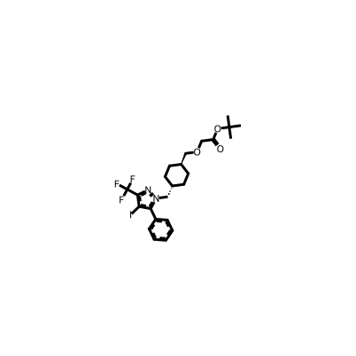 CC(C)(C)OC(=O)COC[C@H]1CC[C@H](Cn2nc(C(F)(F)F)c(I)c2-c2ccccc2)CC1